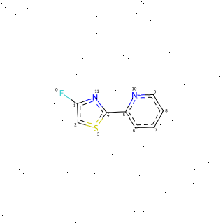 Fc1csc(-c2ccccn2)n1